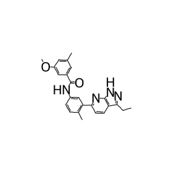 CCc1n[nH]c2nc(-c3cc(NC(=O)c4cc(C)cc(OC)c4)ccc3C)ccc12